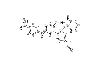 O=COc1ccc2c(c1)C(c1ccccc1F)=NCc1cnc(Nc3ccc(C(=O)O)cc3)nc1-2